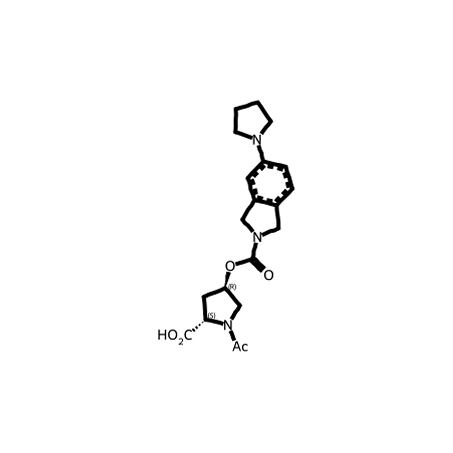 CC(=O)N1C[C@H](OC(=O)N2Cc3ccc(N4CCCC4)cc3C2)C[C@H]1C(=O)O